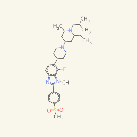 CCC1CC(N2CCC(c3ccc4nc(-c5ccc(S(C)(=O)=O)cc5)n(C)c4c3F)CC2)CC(C)N1CC(C)C